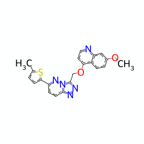 COc1ccc2c(OCc3nnc4ccc(-c5ccc(C)s5)nn34)ccnc2c1